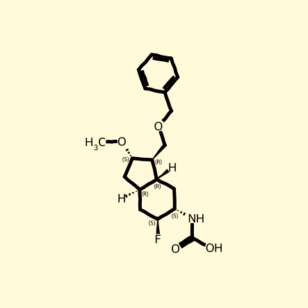 CO[C@H]1C[C@@H]2C[C@H](F)[C@@H](NC(=O)O)C[C@H]2[C@@H]1COCc1ccccc1